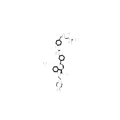 COc1ccc2c(c1)c(C=C1Oc3ccc(NC(=O)Nc4ccc(C(=O)N(C)CCN(C)C)cc4)cc3C1=O)c(C)n2CCN1CCN(C)CC1